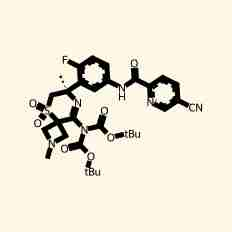 CN1CC2(C1)C(N(C(=O)OC(C)(C)C)C(=O)OC(C)(C)C)=N[C@](C)(c1cc(NC(=O)c3ccc(C#N)cn3)ccc1F)CS2(=O)=O